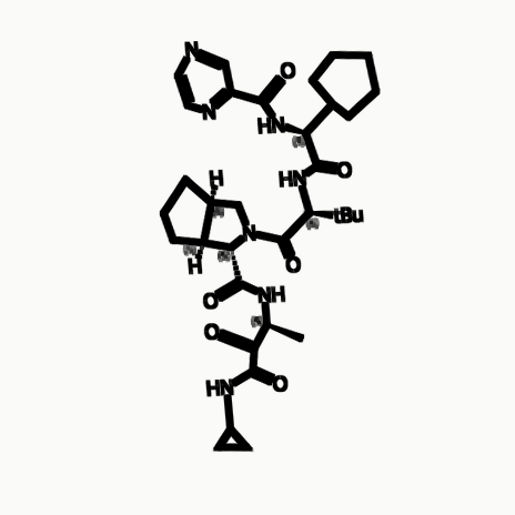 C[C@H](NC(=O)[C@@H]1[C@H]2CCC[C@H]2CN1C(=O)[C@@H](NC(=O)[C@@H](NC(=O)c1cnccn1)C1CCCCC1)C(C)(C)C)C(=O)C(=O)NC1CC1